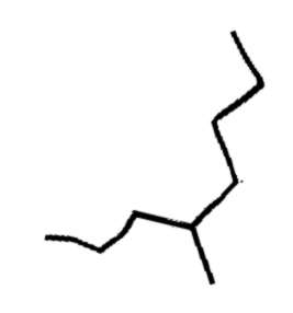 CCC[CH]C(C)CCC